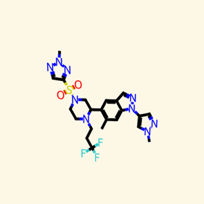 Cc1cc2c(cnn2-c2cnn(C)c2)cc1C1CN(S(=O)(=O)c2cnn(C)n2)CCN1CCC(F)(F)F